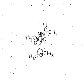 CC(C)Cn1cnc2c1c(=O)n(CCC1C[C@@H](C)O[C@H](C)C1)c(=O)n2C